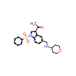 CC(=O)c1cn(S(=O)(=O)c2ccccc2)c2ccc(CNC3CCOCC3)cc12